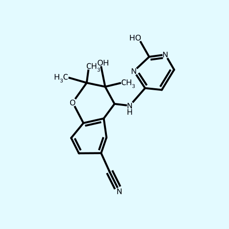 CC1(C)Oc2ccc(C#N)cc2C(Nc2ccnc(O)n2)C1(C)O